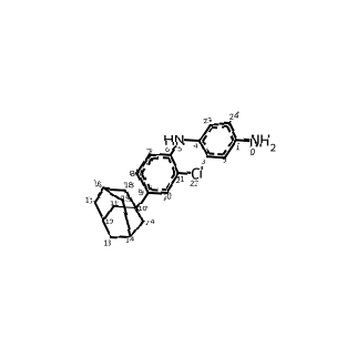 Nc1ccc(Nc2ccc(C34CC5CC(CC(C5)C3)C4)cc2Cl)cc1